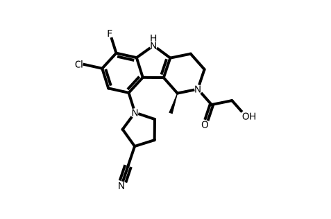 C[C@H]1c2c([nH]c3c(F)c(Cl)cc(N4CCC(C#N)C4)c23)CCN1C(=O)CO